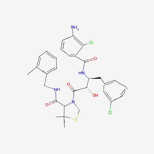 Cc1ccccc1CNC(=O)C1N(C(=O)[C@@H](O)[C@H](Cc2cccc(Cl)c2)NC(=O)c2cccc(N)c2Cl)CSC1(C)C